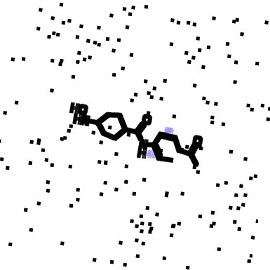 C/C=C(\C=C/CC(C)=O)NC(=O)C1CCC(NO)CC1